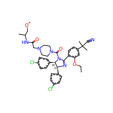 CCOc1cc(C(C)(C)C#N)ccc1C1=N[C@@H](c2ccc(Cl)cc2)[C@@H](c2ccc(Cl)cc2)N1C(=O)N1CCN(CC(=O)NC(C)COC)CC1